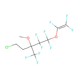 COC(CCCl)(C(F)(F)F)C(F)(F)C(F)(F)OC(F)=C(F)F